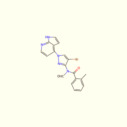 Cc1ccccc1C(=O)N(C=O)c1nn(-c2ccnc3[nH]ccc23)cc1Br